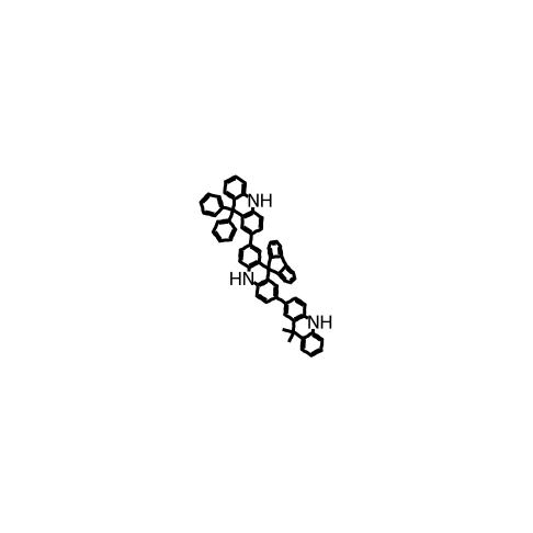 CC1(C)c2ccccc2Nc2ccc(-c3ccc4c(c3)C3(c5cc(-c6ccc7c(c6)C(c6ccccc6)(c6ccccc6)c6ccccc6N7)ccc5N4)c4ccccc4-c4ccccc43)cc21